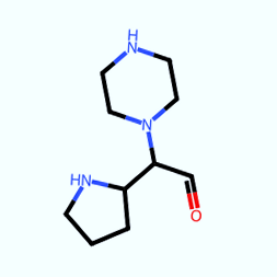 O=CC(C1CCCN1)N1CCNCC1